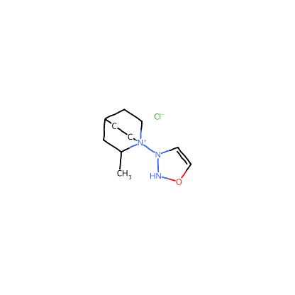 CC1CC2CC[N+]1(N1C=CON1)CC2.[Cl-]